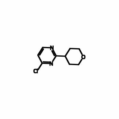 Clc1ccnc(C2CCOCC2)n1